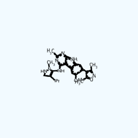 COc1cc2c(cc1-c1c(C)noc1C)[nH]c1nc(C)nc(NC3=C(C(C)C)CNN3C)c12